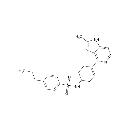 CCCc1ccc(S(=O)(=O)NC2CC=C(c3ncnc4[nH]c(C)cc34)CC2)cc1